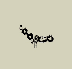 COc1ccc(-c2ccc(S(=O)(=O)NC(CC#Cc3cccnc3)C(=O)O)cc2)cc1